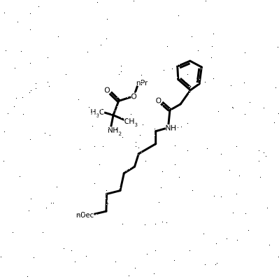 CCCCCCCCCCCCCCCCCCNC(=O)Cc1ccccc1.CCCOC(=O)C(C)(C)N